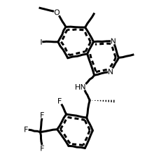 COc1c(I)cc2c(N[C@H](C)c3cccc(C(F)(F)F)c3F)nc(C)nc2c1C